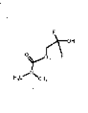 CN(C)C(=O)OCC(O)(F)F